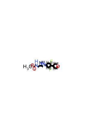 COC(=O)NCc1cn(-c2cc(F)c(C3=CCOCC3)c(F)c2)nn1